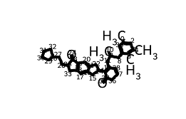 Cc1cc(C)c(C)c(CC(C)CC2=C(C3Cc4cc5c(cc4C3)C(=O)C(CCC3CCCC3)C5)C(=O)CC=C2)c1